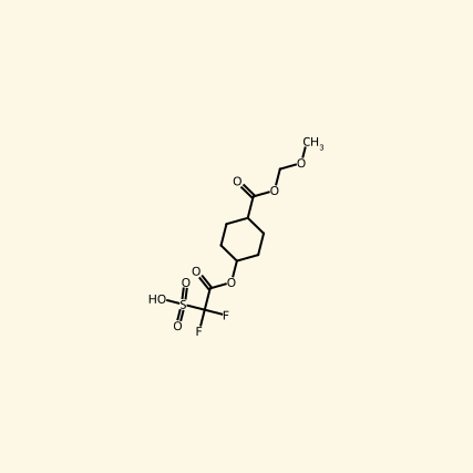 COCOC(=O)C1CCC(OC(=O)C(F)(F)S(=O)(=O)O)CC1